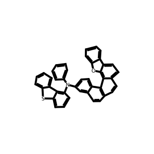 c1ccc(N(c2ccc3c(ccc4ccc5ccc6c7ccccc7oc6c5c43)c2)c2cccc3sc4ccccc4c23)cc1